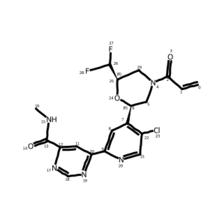 C=CC(=O)N1C[C@@H](c2cc(-c3cc(C(=O)NC)ncn3)ncc2Cl)O[C@@H](C(F)F)C1